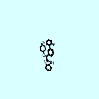 CN1CCC(OC(c2cccc(-c3ccccc3F)c2)c2nc3ccccc3[nH]2)CC1